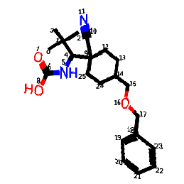 CC(C)(C)C(NC(=O)O)C1(C#N)CCC(COCc2ccccc2)CC1